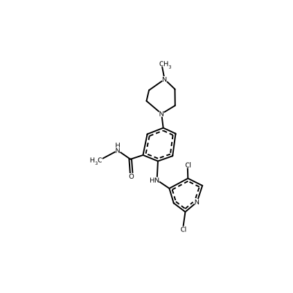 CNC(=O)c1cc(N2CCN(C)CC2)ccc1Nc1cc(Cl)ncc1Cl